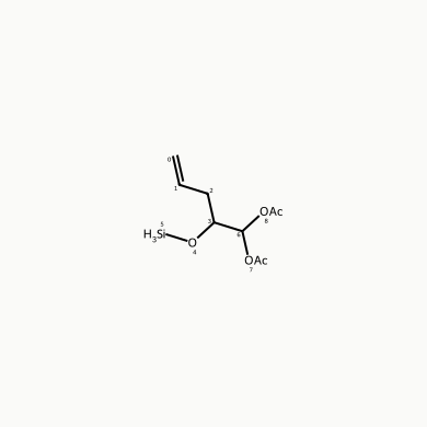 C=CCC(O[SiH3])C(OC(C)=O)OC(C)=O